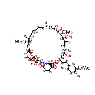 COC1C(=O)C(C)C[C@H](C)/C=C/C=C/C=C(\C)[C@@H](OC)C[C@@H]2CC[C@@H](C)[C@@](O)(O2)C(=O)C(=O)N2CCCC[C@H]2C(=O)O[C@H]([C@H](C)C[C@@H]2CC[C@@H](C)[C@H](OC)C2)CC(=O)[C@H](C)/C=C(\C)[C@H]1O